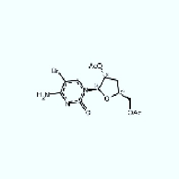 CC(=O)OC[C@@H]1C[C@@H](OC(C)=O)[C@H](n2cc(Br)c(N)nc2=O)O1